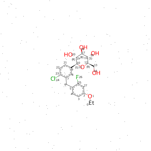 CCOc1ccc(Cc2cc([C@@H]3O[C@H](CO)[C@@H](O)[C@H](O)[C@H]3O)ccc2Cl)c(F)c1